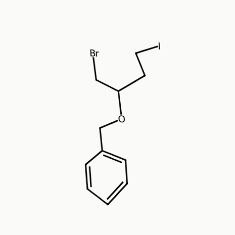 BrCC(CCI)OCc1ccccc1